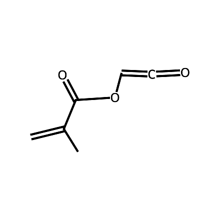 C=C(C)C(=O)OC=C=O